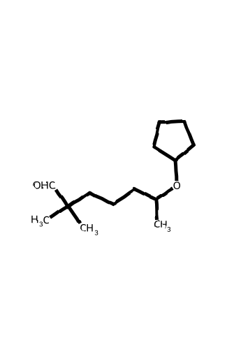 CC(CCCC(C)(C)C=O)OC1CCCC1